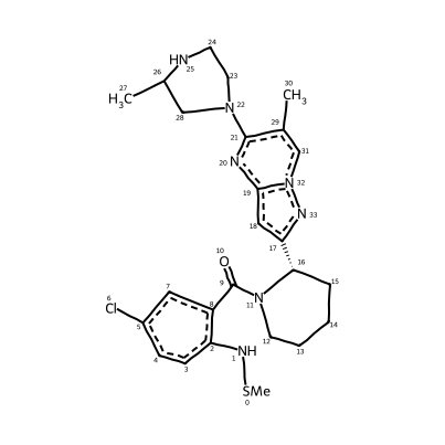 CSNc1ccc(Cl)cc1C(=O)N1CCCC[C@H]1c1cc2nc(N3CCNC(C)C3)c(C)cn2n1